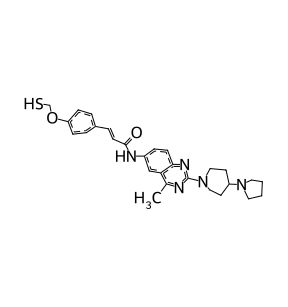 Cc1nc(N2CCC(N3CCCC3)CC2)nc2ccc(NC(=O)C=Cc3ccc(OCS)cc3)cc12